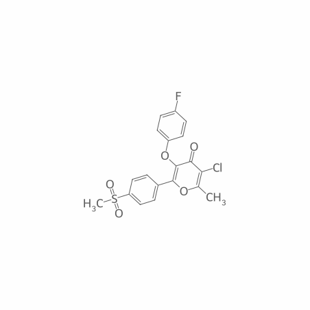 Cc1oc(-c2ccc(S(C)(=O)=O)cc2)c(Oc2ccc(F)cc2)c(=O)c1Cl